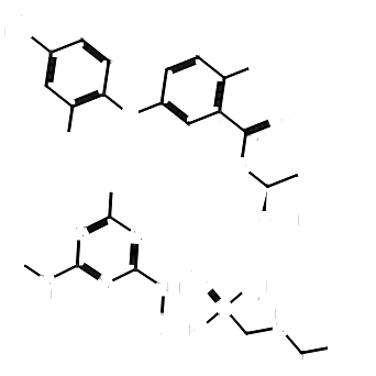 CCNc1nc(Cl)nc(NCC)n1.C[C@H](OC(=O)c1cc(Oc2ccc(C(F)(F)F)cc2Cl)ccc1Cl)C(=O)O.O=C(O)CNCP(=O)(O)O